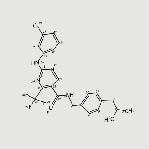 CC(C)Cc1ccc(CNC(=O)c2cnc(Nc3cccc(Cl)c3)nc2C(F)(F)F)cc1